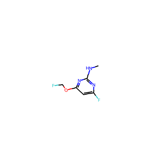 CNc1nc(F)cc(OCF)n1